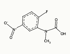 CN(C(=O)O)c1cc([N+](=O)[O-])ccc1F